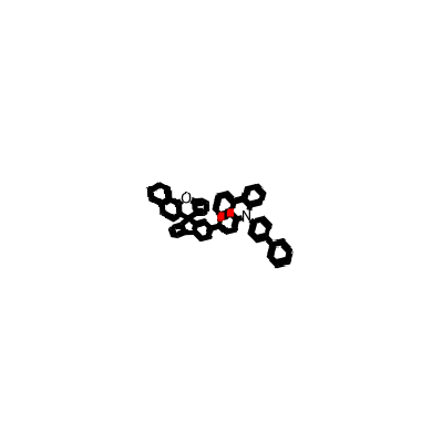 c1ccc(-c2ccc(N(c3ccc(-c4ccc5c(c4)C4(c6ccccc6Oc6c4ccc4ccccc64)c4ccccc4-5)cc3)c3ccccc3-c3ccccc3)cc2)cc1